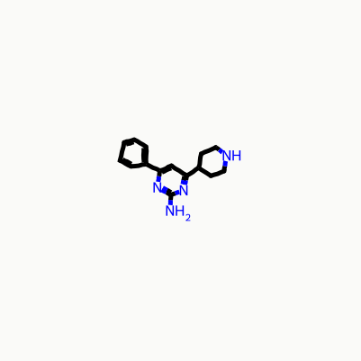 Nc1nc(-c2ccccc2)cc(C2CCNCC2)n1